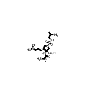 CC(N)CNS(=O)(=O)N1C[C@H](CCCB(O)O)[C@](NC(=O)[C@H](C)N)(C(=O)O)C1